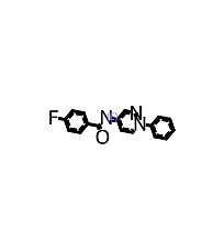 O=C(/N=c1\ccn(-c2ccccc2)nc1)c1ccc(F)cc1